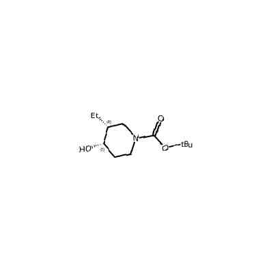 CC[C@@H]1CN(C(=O)OC(C)(C)C)CC[C@@H]1O